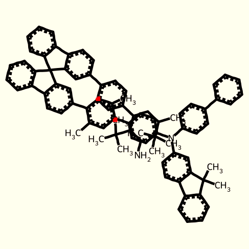 Cc1cc(-c2ccc3c(c2)C2(c4ccccc4-c4ccc(-c5ccc(C(CC(C)C(C)(C)C)C(CN)C(C)(C)C)cc5)cc42)c2ccccc2-3)c(C)cc1-c1ccc(N(c2ccc(-c3ccccc3)cc2)c2ccc3c(c2)C(C)(C)c2ccccc2-3)cc1